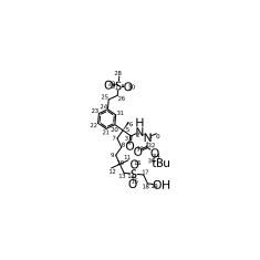 CN(NC(=O)[C@](C)(CCCC(C)(C)CS(=O)(=O)CCO)c1cccc(CCS(C)(=O)=O)c1)C(=O)OC(C)(C)C